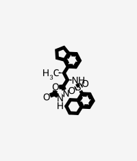 C[C@H](c1cccc2c1CCC2)[C@H](NS(=O)(=O)c1cccc2c1CCCC2)c1n[nH]c(=O)o1